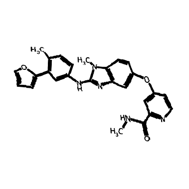 CNC(=O)c1cc(Oc2ccc3c(c2)nc(Nc2ccc(C)c(-c4ccco4)c2)n3C)ccn1